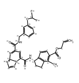 C=CCOC(=O)c1ccc2c(c1C)CC[C@@H]2NC(=O)c1cc(C(=O)NCc2cccc(OC(F)F)c2)nc2ncnn12